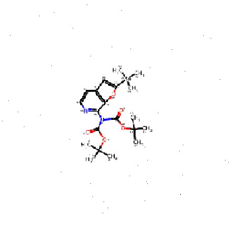 CC(C)(C)OC(=O)N(C(=O)OC(C)(C)C)c1nccc2c[c]([Sn]([CH3])([CH3])[CH3])oc12